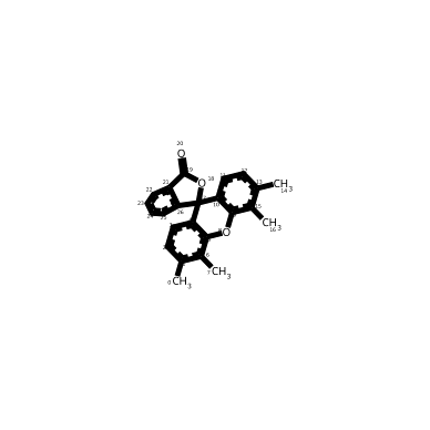 Cc1ccc2c(c1C)Oc1c(ccc(C)c1C)C21OC(=O)c2ccccc21